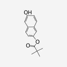 CC(C)(C)C(=O)Oc1ccc2cc(O)ccc2c1